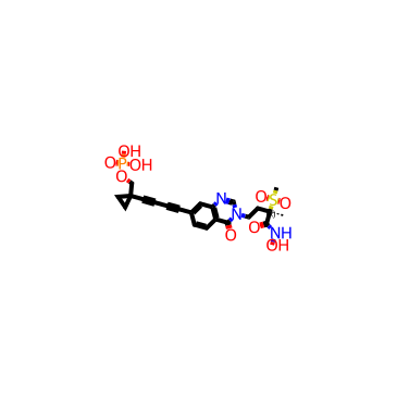 C[C@@](CCn1cnc2cc(C#CC#CC3(COP(=O)(O)O)CC3)ccc2c1=O)(C(=O)NO)S(C)(=O)=O